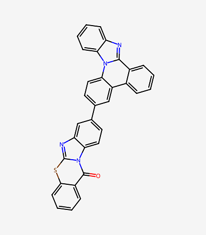 O=c1c2ccccc2sc2nc3cc(-c4ccc5c(c4)c4ccccc4c4nc6ccccc6n54)ccc3n12